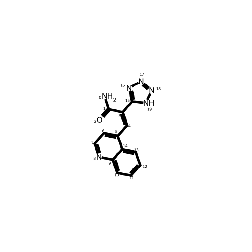 NC(=O)C(=Cc1ccnc2ccccc12)c1nnn[nH]1